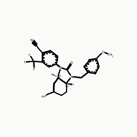 COc1ccc(CN2C(=O)N(c3ccc(C#N)c(C(F)(F)F)c3)[C@@H]3CC(O)CC[C@H]32)cc1